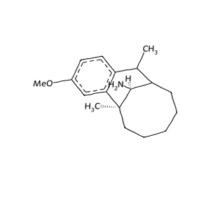 COc1ccc2c(c1)[C@]1(C)CCCCCC(C2C)[C@@H]1N